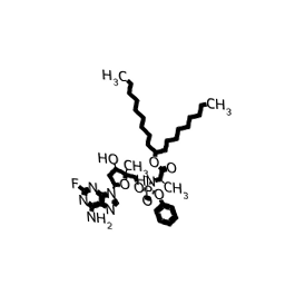 CCCCCCCCCC(CCCCCCCCC)OC(=O)[C@H](C)N[P@](=O)(OC[C@@]1(C)O[C@@H](n2cnc3c(N)nc(F)nc32)C[C@@H]1O)Oc1ccccc1